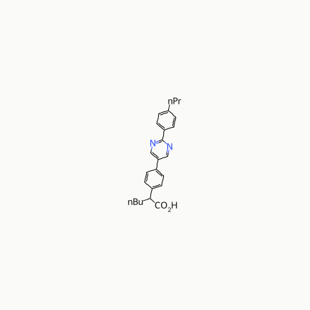 CCCCC(C(=O)O)c1ccc(-c2cnc(-c3ccc(CCC)cc3)nc2)cc1